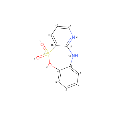 O=S1(=O)Oc2ccccc2Nc2ncccc21